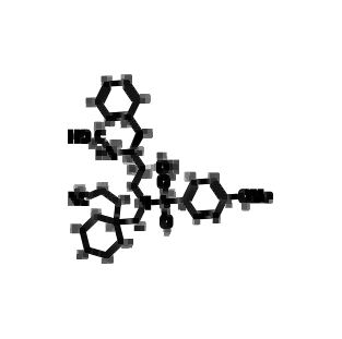 COc1ccc(S(=O)(=O)N(C[C@@H](O)[C@H](Cc2ccccc2)NC(=O)O)CC2(CCC#N)CCCCC2)cc1